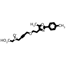 Cc1ccc(-c2nc(CCOCC#CC[S+]([O-])CC(=O)O)c(C)o2)cc1